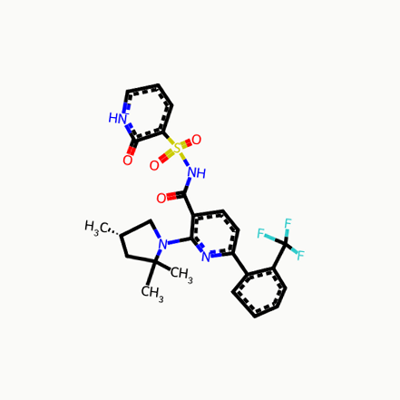 C[C@@H]1CN(c2nc(-c3ccccc3C(F)(F)F)ccc2C(=O)NS(=O)(=O)c2ccc[nH]c2=O)C(C)(C)C1